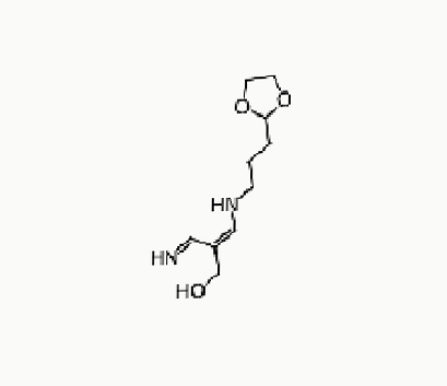 N=C/C(=C\NCCCC1OCCO1)CO